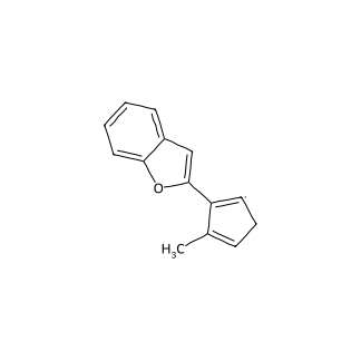 CC1=CC[C]=C1c1cc2ccccc2o1